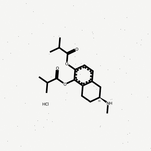 CN[C@H]1CCc2c(ccc(OC(=O)C(C)C)c2OC(=O)C(C)C)C1.Cl